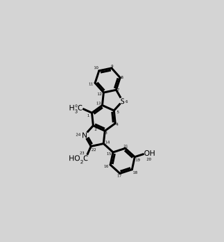 Cc1c2c(cc3sc4ccccc4c13)C(c1cccc(O)c1)C(C(=O)O)=N2